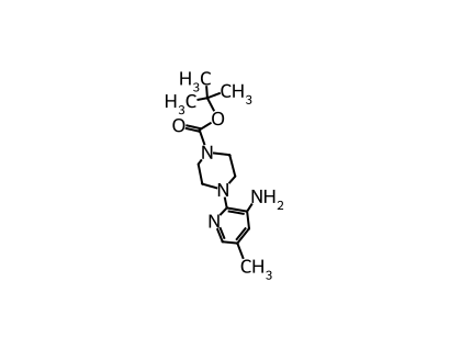 Cc1cnc(N2CCN(C(=O)OC(C)(C)C)CC2)c(N)c1